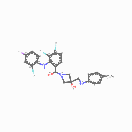 COc1ccc(NCC2(O)CN(C(O)c3ccc(F)c(F)c3Nc3ccc(I)cc3F)C2)cc1